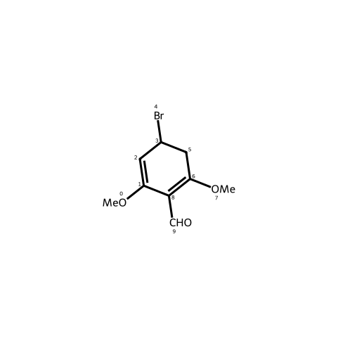 COC1=CC(Br)CC(OC)=C1C=O